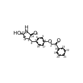 O=C(COc1ccc(CC2SC(O)NC2=O)cc1)c1ccccc1